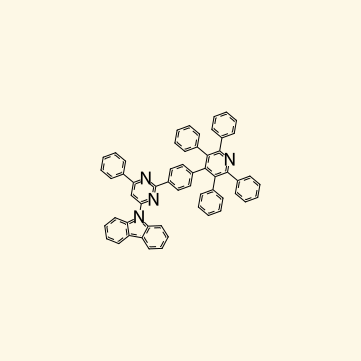 c1ccc(-c2cc(-n3c4ccccc4c4ccccc43)nc(-c3ccc(-c4c(-c5ccccc5)c(-c5ccccc5)nc(-c5ccccc5)c4-c4ccccc4)cc3)n2)cc1